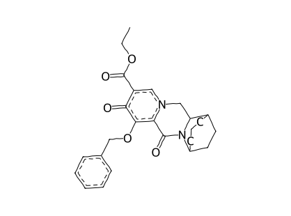 CCOC(=O)c1cn2c(c(OCc3ccccc3)c1=O)C(=O)N1C3CCCC(CC3)C1C2